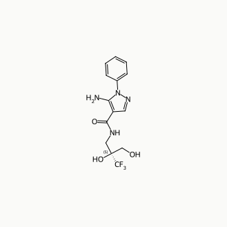 Nc1c(C(=O)NC[C@](O)(CO)C(F)(F)F)cnn1-c1ccccc1